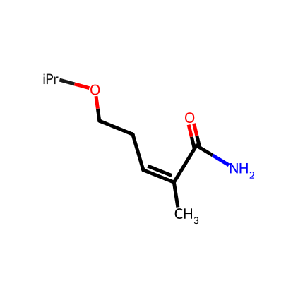 CC(=CCCOC(C)C)C(N)=O